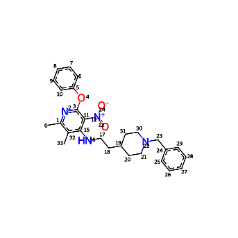 Cc1nc(Oc2ccccc2)c([N+](=O)[O-])c(NCCC2CCN(Cc3ccccc3)CC2)c1C